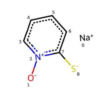 [Na+].[O-][n+]1ccccc1[S-]